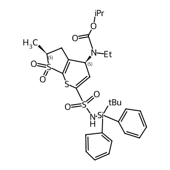 [CH2]C(C)OC(=O)N(CC)[C@H]1C=C(S(=O)(=O)N[Si](c2ccccc2)(c2ccccc2)C(C)(C)C)SC2=C1C[C@H](C)S2(=O)=O